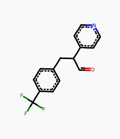 O=CC(Cc1ccc(C(F)(F)F)cc1)c1ccncc1